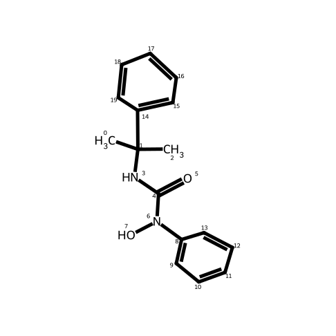 CC(C)(NC(=O)N(O)c1ccccc1)c1ccccc1